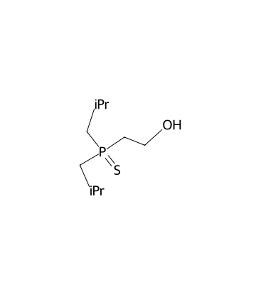 CC(C)CP(=S)(CCO)CC(C)C